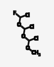 COC(Cl)OC(Cl)OC(F)Cl